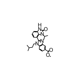 COC(=O)c1ccc2c(c1)nc(-c1cccc3[nH]c(=O)n(C(C)C)c13)n2CCC(C)C